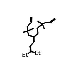 C=CCC(C)(C)CCC(=CCC(CC)CC)CC(C)(C)CC=C